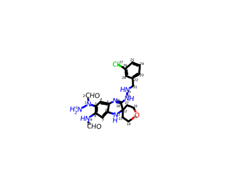 NN(C=O)c1cc2c(cc1NC=O)NC1(CCOCC1)C(NNCc1cccc(Cl)c1)=N2